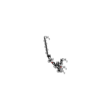 C=NOCC(=O)N[C@@H](CC(C)C)C(=O)N[C@@H](CCCNC(N)=O)C(=O)Nc1ccc(COC(=O)NCc2cn(CCOCCOCCOCCOCCOCCC)nn2)cc1